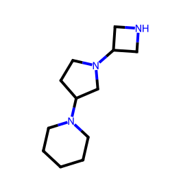 C1CCN(C2CCN(C3CNC3)C2)CC1